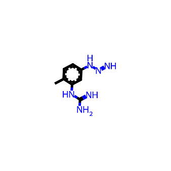 Cc1ccc(NN=N)cc1NC(=N)N